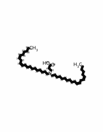 CCCCC/C=C\C/C=C\CCCCCCCCCCN(CCCCCCCCCC/C=C\C/C=C\CCCCC)CCC(=O)O